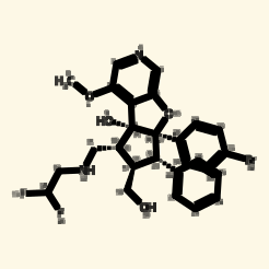 COc1cncc2c1[C@]1(O)[C@@H](CNCC(F)F)[C@H](CO)[C@@H](c3ccccc3)[C@]1(c1ccc(Br)cc1)O2